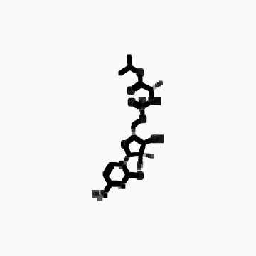 CC(C)OC(=O)[C@H](C)N[PH](=O)OC[C@H]1O[C@@H](n2ccc(N)nc2=O)[C@](C)(F)[C@@H]1O